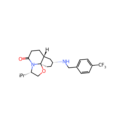 CC(C)[C@H]1CO[C@]23CC[C@@H](NCc4ccc(C(F)(F)F)cc4)C[C@H]2CCC(=O)N13